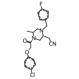 CC1CN(Cc2ccc(F)cc2)C(CC#N)CN1C(=O)COc1ccc(Cl)cc1